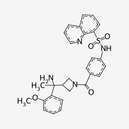 COc1ccccc1C(C)(N)C1CN(C(=O)c2ccc(NS(=O)(=O)c3cccc4cccnc34)cc2)C1